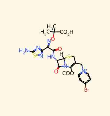 CC(C)(O/N=C(\C(=O)N[C@@H]1C(=O)N2C(C(=O)[O-])=C(C[n+]3ccc(Br)cc3)CS[C@@H]12)c1nsc(N)n1)C(=O)O